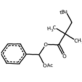 CC(=O)OC(OC(=O)C(C)(C)CC(C)(C)C)c1ccccc1